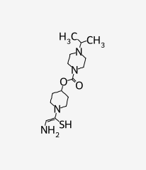 CC(C)N1CCN(C(=O)OC2CCN(/C(S)=C/N)CC2)CC1